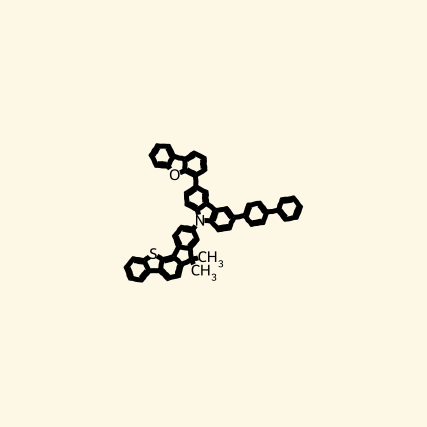 CC1(C)c2cc(-n3c4ccc(-c5ccc(-c6ccccc6)cc5)cc4c4cc(-c5cccc6c5oc5ccccc56)ccc43)ccc2-c2c1ccc1c2sc2ccccc21